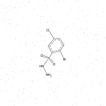 NNS(=O)(=O)c1cc(Cl)ccc1Br